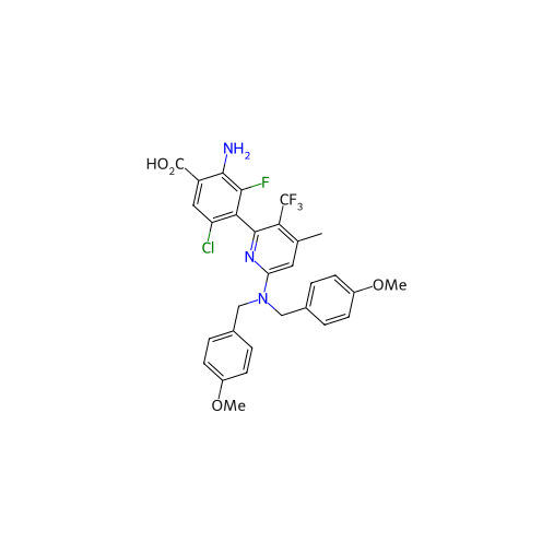 COc1ccc(CN(Cc2ccc(OC)cc2)c2cc(C)c(C(F)(F)F)c(-c3c(Cl)cc(C(=O)O)c(N)c3F)n2)cc1